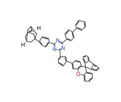 c1ccc(-c2ccc(-c3nc(-c4ccc(C56C[C@@H]7CC8C[C@](C7)(C5)[C@@H]8C6)cc4)nc(-c4cccc(-c5ccc6c(c5)Oc5ccccc5C65c6ccccc6-c6ccccc65)c4)n3)cc2)cc1